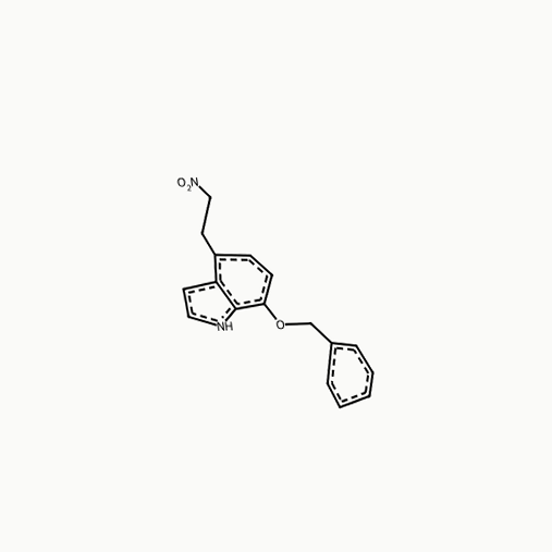 O=[N+]([O-])CCc1ccc(OCc2ccccc2)c2[nH]ccc12